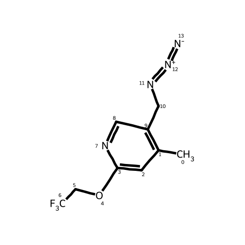 Cc1cc(OCC(F)(F)F)ncc1CN=[N+]=[N-]